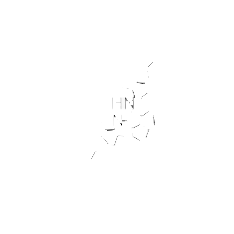 C=CCc1cc(C)c(/N=C2\c3cccc4cccc(c34)C2Nc2c(C)cc(CC=C)cc2C)c(C)c1